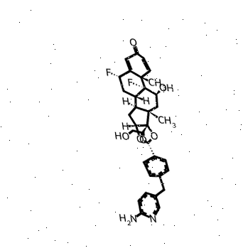 C[C@]12C=CC(=O)C=C1[C@@H](F)C[C@H]1[C@@H]3C[C@H]4O[C@@H](c5ccc(Cc6ccc(N)nc6)cc5)O[C@@]4(C(=O)CO)[C@@]3(C)C[C@H](O)[C@@]12F